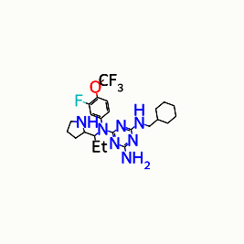 CCC(C1CCCN1)N(c1ccc(OC(F)(F)F)c(F)c1)c1nc(N)nc(NCC2CCCCC2)n1